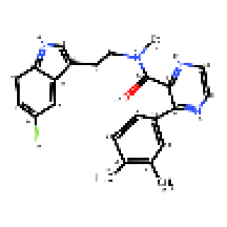 CCN(CCC1=CN=C2CC=C(F)C=C12)C(=O)c1nccnc1-c1ccc(C)c(C)c1